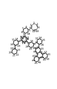 C1=CCC=C(c2cccc(-c3nc(-c4cccc(-c5ccccc5)c4)nc(-c4cccc(-c5ccccc5-c5ccc6c7ccccc7c7ccccc7c6c5)c4)n3)c2)C=C1